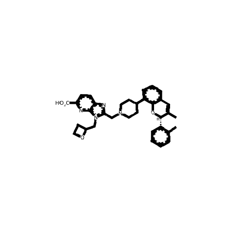 CC1=Cc2cccc(C3CCN(Cc4nc5ccc(C(=O)O)nc5n4CC4CCO4)CC3)c2O[C@H]1c1ccccc1C